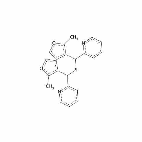 Cc1occc1C(SC(c1ccccn1)c1ccoc1C)c1ccccn1